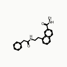 CCNC(=O)c1ccc2cccc(CCNC(=O)Cc3ccccc3)c2c1